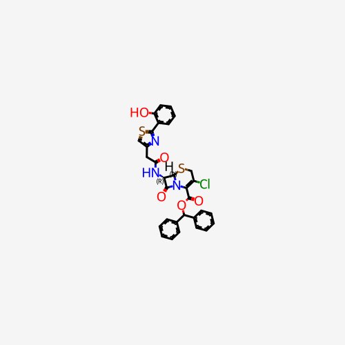 O=C(Cc1csc(-c2ccccc2O)n1)N[C@@H]1C(=O)N2C(C(=O)OC(c3ccccc3)c3ccccc3)=C(Cl)CS[C@H]12